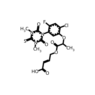 CC(Oc1cc(-n2c(=O)n(C)c(=S)n(C)c2=O)c(F)cc1Cl)C(=O)OCC=CC(=O)O